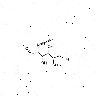 [N-]=[N+]=N[C@@H](C=O)[C@@H](O)[C@H](O)[C@H](O)CO